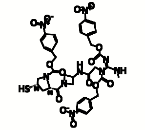 CNC(=NC(=O)OCc1ccc([N+](=O)[O-])cc1)N(CC(=O)NC1CN(C(=O)[C@@H]2C[C@H](S)CN2C(=O)OCc2ccc([N+](=O)[O-])cc2)C1)C(=O)OCc1ccc([N+](=O)[O-])cc1